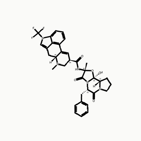 CN1C[C@H](C(=O)N[C@]2(C)O[C@@]3(O)[C@@H]4CCCN4C(=O)[C@H](Cc4ccccc4)N3C2=O)C=C2c3cccc4c3c(cn4C(F)(F)F)C[C@H]21